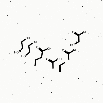 C=CC.CC(=O)O.CC(N)=O.CCCC(=O)O.NC(=O)CO.OCCO.OCCO